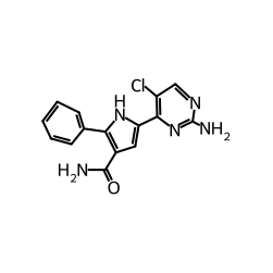 NC(=O)c1cc(-c2nc(N)ncc2Cl)[nH]c1-c1ccccc1